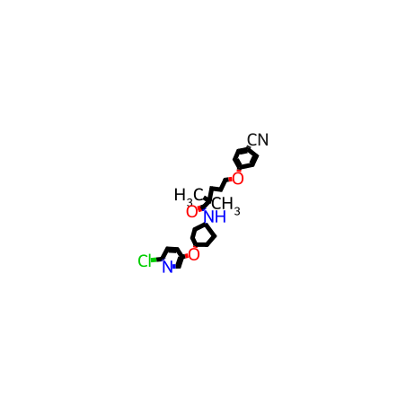 CC(C)(CCCOc1ccc(C#N)cc1)C(=O)NC1CCC(Oc2ccc(Cl)nc2)CC1